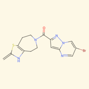 C=C1NC2=C(CCN(C(=O)c3cc4ncc(Br)cn4n3)CC2)S1